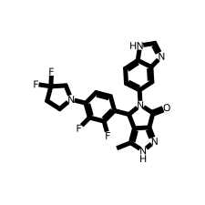 Cc1[nH]nc2c1C(c1ccc(N3CCC(F)(F)C3)c(F)c1F)N(c1ccc3[nH]cnc3c1)C2=O